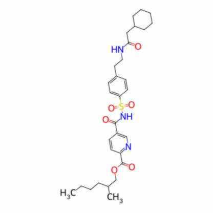 CCCCC(C)COC(=O)c1ccc(C(=O)NS(=O)(=O)c2ccc(CCNC(=O)CC3CCCCC3)cc2)cn1